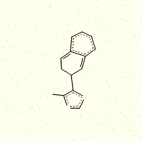 CC(C)c1ocnc1C1C=c2ccccc2=CC1